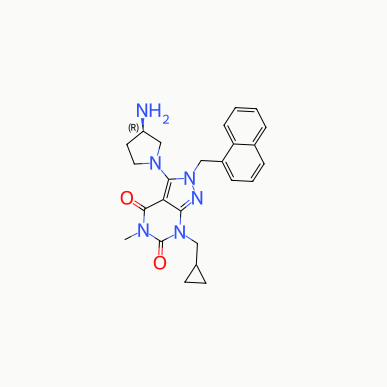 Cn1c(=O)c2c(N3CC[C@@H](N)C3)n(Cc3cccc4ccccc34)nc2n(CC2CC2)c1=O